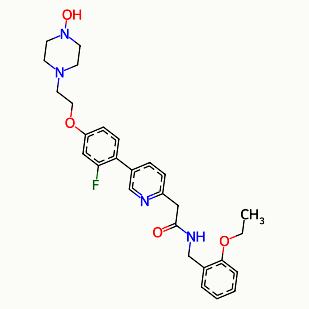 CCOc1ccccc1CNC(=O)Cc1ccc(-c2ccc(OCCN3CCN(O)CC3)cc2F)cn1